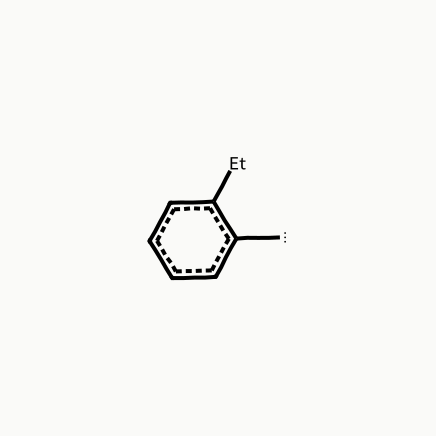 [C]c1ccccc1CC